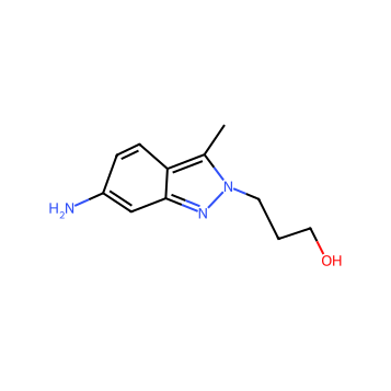 Cc1c2ccc(N)cc2nn1CCCO